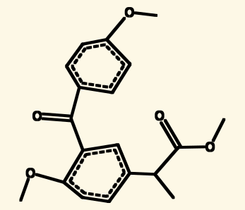 COC(=O)C(C)c1ccc(OC)c(C(=O)c2ccc(OC)cc2)c1